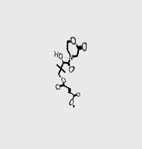 COC(=O)/C=C/C(=O)OCC(C)(C)[C@@H](O)C(=O)N1CCOC(=O)C1